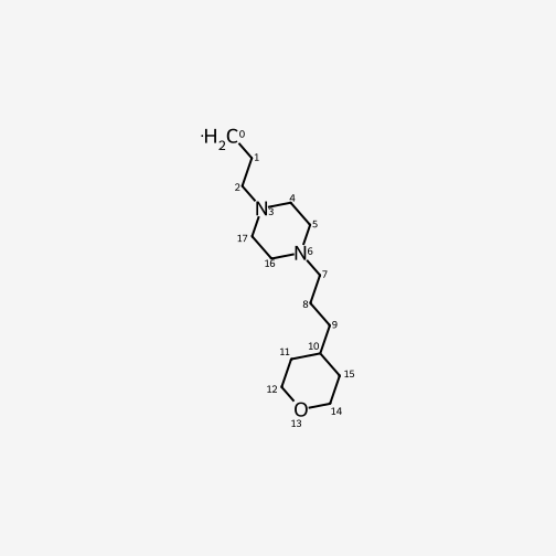 [CH2]CCN1CCN(CCCC2CCOCC2)CC1